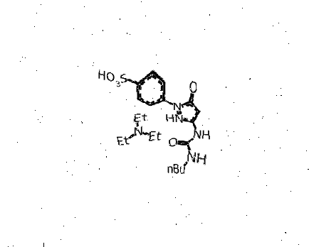 CCCCNC(=O)Nc1cc(=O)n(-c2ccc(S(=O)(=O)O)cc2)[nH]1.CCN(CC)CC